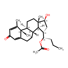 CCC[C@H](OC(C)=O)[C@H]1C[C@H](O)[C@@]2(C)CC[C@H]3[C@@H](CCC4=CC(=O)C=C(C)[C@@]43C)[C@H]12